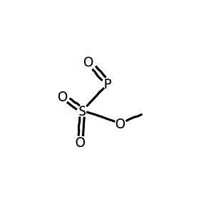 COS(=O)(=O)P=O